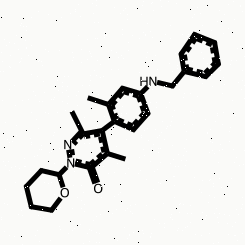 Cc1cc(NCc2ccccc2)ccc1-c1c(C)nn(C2CCCCO2)c(=O)c1C